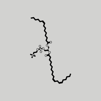 CCCCC/C=C\C/C=C\CCCCCCCCCC(=O)O[C@H](COC(=O)CCCCCCC/C=C\CCCCC)COP(=O)([O-])OCC[N+](C)(C)C